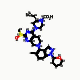 Cc1ccc2c(cnn2C2CCCCO2)c1N1CCc2c(nc([S+](C)[O-])nc2N2CCN(C(=O)O)[C@@H](CC#N)C2)C1